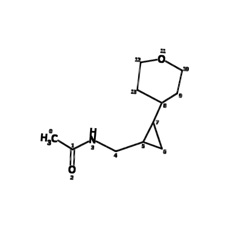 CC(=O)NCC1CC1C1CCOCC1